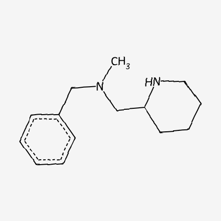 CN(Cc1ccccc1)CC1CCCCN1